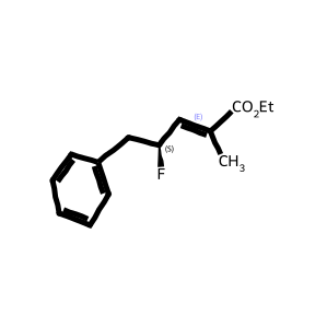 CCOC(=O)/C(C)=C/[C@@H](F)Cc1ccccc1